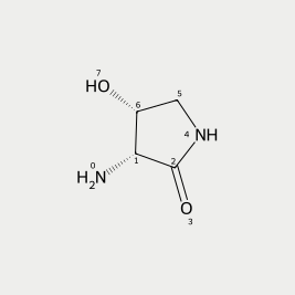 N[C@H]1C(=O)NC[C@H]1O